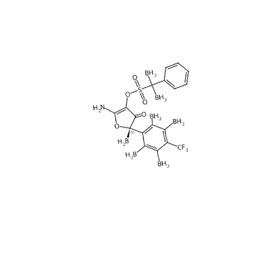 Bc1c(B)c([C@]2(B)OC(N)=C(OS(=O)(=O)C(B)(B)c3ccccc3)C2=O)c(B)c(B)c1C(F)(F)F